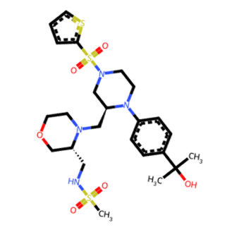 CC(C)(O)c1ccc(N2CCN(S(=O)(=O)c3cccs3)C[C@@H]2CN2CCOC[C@H]2CNS(C)(=O)=O)cc1